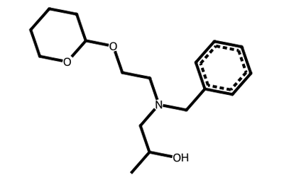 CC(O)CN(CCOC1CCCCO1)Cc1ccccc1